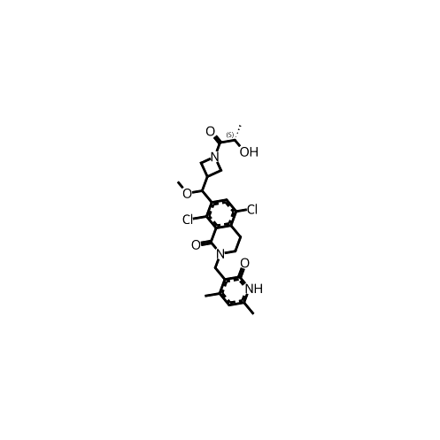 COC(c1cc(Cl)c2c(c1Cl)C(=O)N(Cc1c(C)cc(C)[nH]c1=O)CC2)C1CN(C(=O)[C@H](C)O)C1